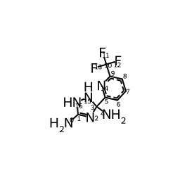 NC1=NC(N)(c2cccc(C(F)(F)F)n2)NN1